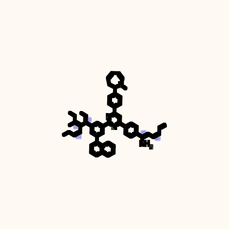 C=C/C=C\C=C(/N)c1ccc(-c2cc(-c3ccc(C4CC=CC=CN4C)cc3)nc(-c3cc(C(=C/C)/C(/C=C\CC)=C(/C)CC)cc(-c4cccc5ccccc45)c3)n2)cc1